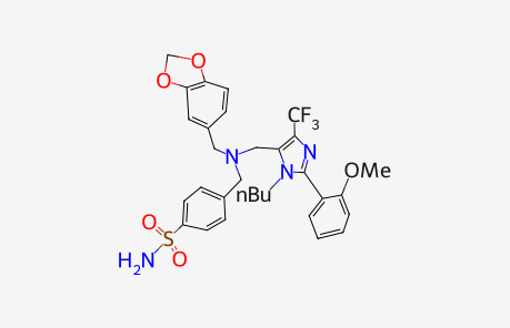 CCCCn1c(-c2ccccc2OC)nc(C(F)(F)F)c1CN(Cc1ccc(S(N)(=O)=O)cc1)Cc1ccc2c(c1)OCO2